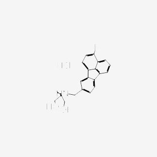 CCc1ccc2c3c(cccc13)-c1ccc(CNC(C)(CO)CO)cc1-2.Cl